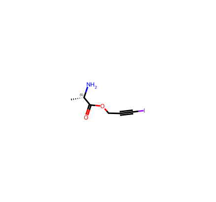 C[C@H](N)C(=O)OCC#CI